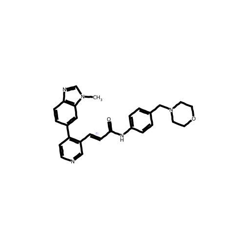 Cn1cnc2ccc(-c3ccncc3/C=C/C(=O)Nc3ccc(CN4CCOCC4)cc3)cc21